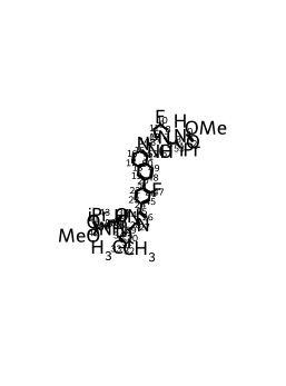 COC(=O)NC(C(=O)N1CC(F)C[C@H]1c1nc2ccc3cc(-c4ccc(-c5cnc(C6C[Si](C)(C)CN6C(=O)[C@@H](NC(=O)OC)C(C)C)[nH]5)cc4F)ccc3c2[nH]1)C(C)C